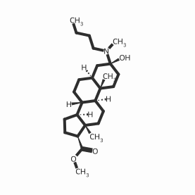 CCCCN(C)[C@]1(O)CC[C@@]2(C)[C@@H](CC[C@@H]3[C@@H]2CC[C@]2(C)[C@@H](C(=O)OC)CC[C@@H]32)C1